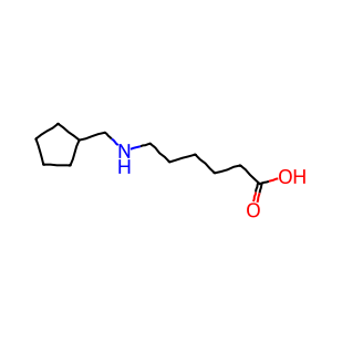 O=C(O)CCCCCNCC1CCCC1